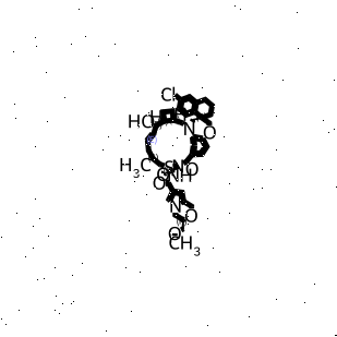 COC[C@H]1Cn2cc(C(=O)N[S@@]3(=O)=NC(=O)c4ccc5c(c4)N(C[C@@H]4CC[C@H]4[C@@H](O)/C=C/C[C@H](C)C3)C[C@@]3(CCCc4cc(Cl)ccc43)CO5)cc2CO1